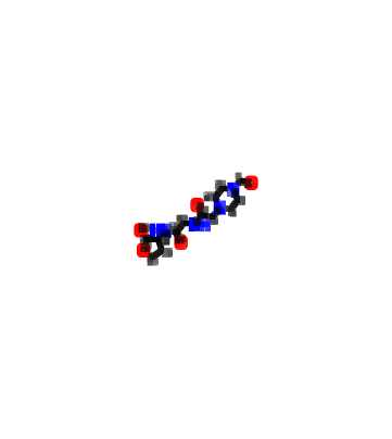 O=CN1CCN(CC(=O)NCC(=O)NC2CCOC2=O)CC1